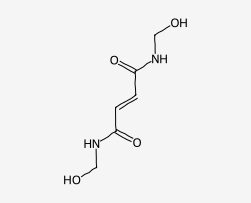 O=C(/C=C/C(=O)NCO)NCO